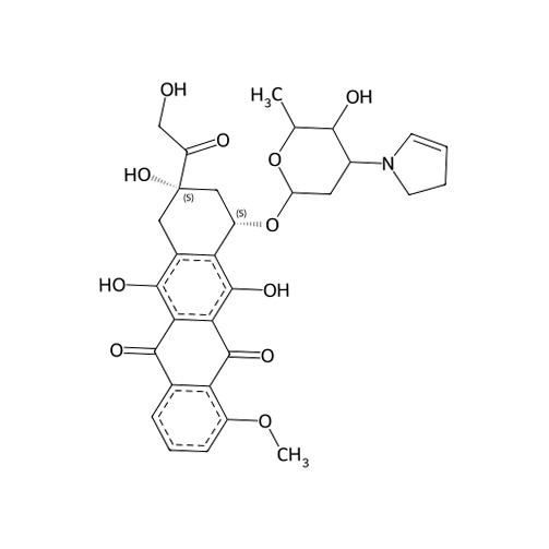 COc1cccc2c1C(=O)c1c(O)c3c(c(O)c1C2=O)C[C@@](O)(C(=O)CO)C[C@@H]3OC1CC(N2C=CCC2)C(O)C(C)O1